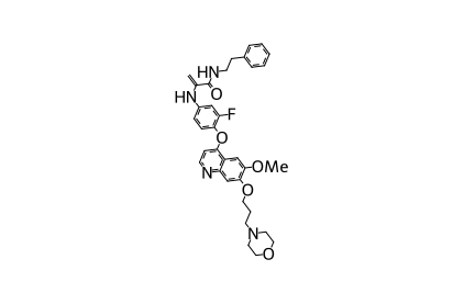 C=C(Nc1ccc(Oc2ccnc3cc(OCCCN4CCOCC4)c(OC)cc23)c(F)c1)C(=O)NCCc1ccccc1